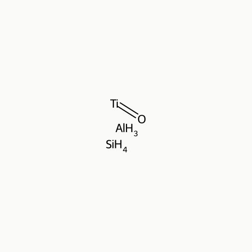 [AlH3].[O]=[Ti].[SiH4]